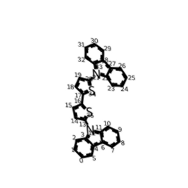 c1ccc2c(c1)c1ccccc1n2-c1ccc(-c2ccc(-n3c4ccccc4c4ccccc43)s2)s1